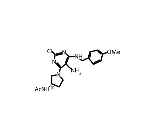 COc1ccc(CNc2nc(Cl)nc(N3CC[C@H](NC(C)=O)C3)c2N)cc1